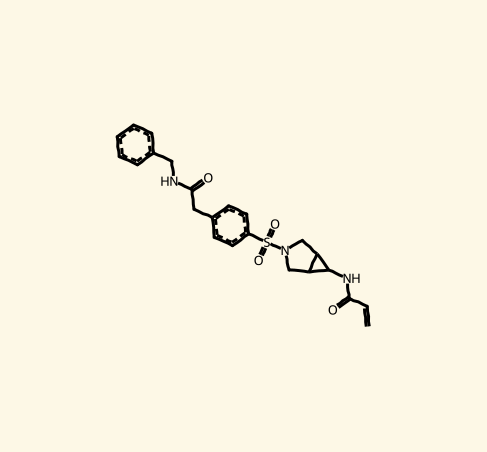 C=CC(=O)NC1C2CN(S(=O)(=O)c3ccc(CC(=O)NCc4ccccc4)cc3)CC21